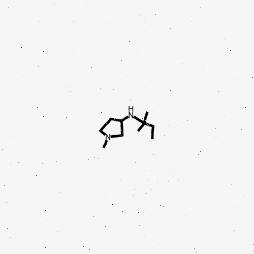 CCC(C)(C)NC1CCN(C)C1